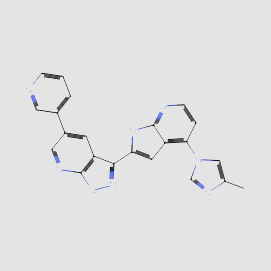 Cc1cn(-c2ccnc3[nH]c(-c4n[nH]c5ncc(-c6cccnc6)cc45)cc23)cn1